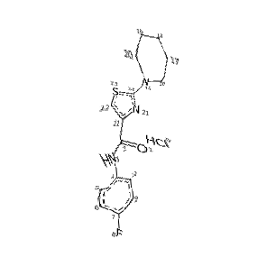 Cl.O=C(Nc1ccc(F)cc1)c1csc(N2CCCCC2)n1